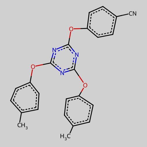 Cc1ccc(Oc2nc(Oc3ccc(C)cc3)nc(Oc3ccc(C#N)cc3)n2)cc1